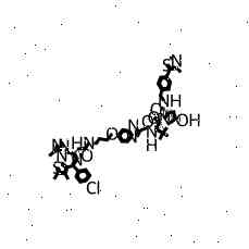 Cc1ncsc1-c1ccc(CNC(=O)[C@@H]2C[C@@H](O)CN2C(=O)[C@@H](NC(=O)c2cn3ccc(OCCCNC(=O)C[C@@H]4N=C(c5ccc(Cl)cc5)c5c(sc(C)c5C)-n5c(C)nnc54)cc3n2)C(C)(C)C)cc1